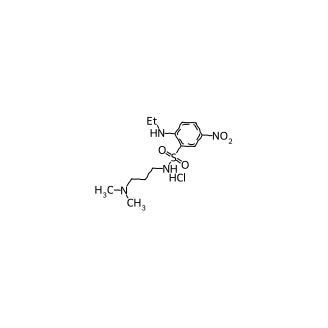 CCNc1ccc([N+](=O)[O-])cc1S(=O)(=O)NCCCN(C)C.Cl